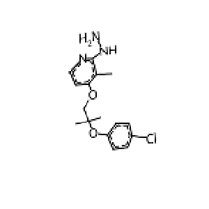 Cc1c(OCC(C)(C)Oc2ccc(Cl)cc2)ccnc1NN